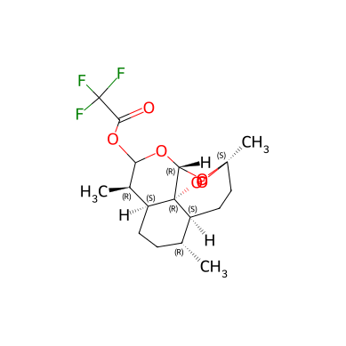 C[C@@H]1CC[C@H]2[C@@H](C)C(OC(=O)C(F)(F)F)O[C@@H]3O[C@]4(C)CC[C@@H]1[C@]32OO4